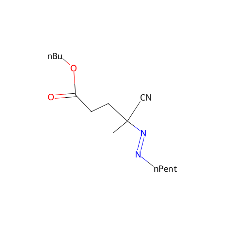 CCCCCN=NC(C)(C#N)CCC(=O)OCCCC